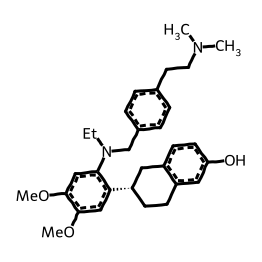 CCN(Cc1ccc(CCN(C)C)cc1)c1cc(OC)c(OC)cc1[C@H]1CCc2cc(O)ccc2C1